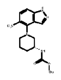 CC(C)(C)OC(=O)N[C@@H]1CCCN(c2c([N+](=O)[O-])ccc3[nH]ncc23)C1